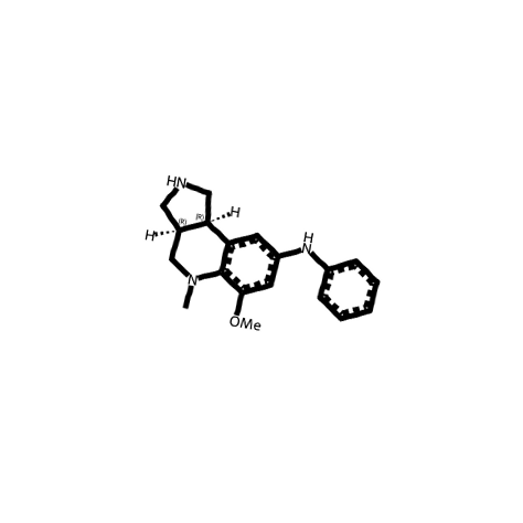 COc1cc(Nc2ccccc2)cc2c1N(C)C[C@H]1CNC[C@@H]21